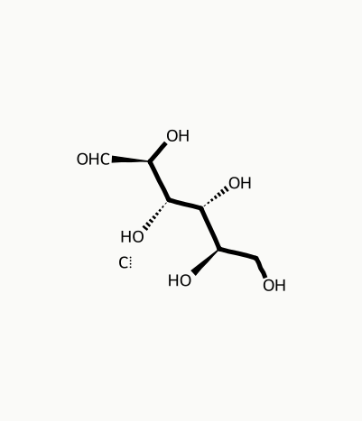 O=C[C@@H](O)[C@@H](O)[C@H](O)[C@H](O)CO.[C]